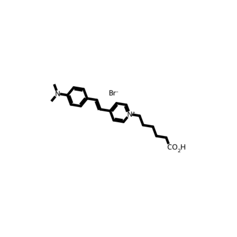 CN(C)c1ccc(C=Cc2cc[n+](CCCCCC(=O)O)cc2)cc1.[Br-]